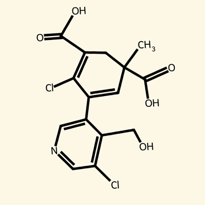 CC1(C(=O)O)C=C(c2cncc(Cl)c2CO)C(Cl)=C(C(=O)O)C1